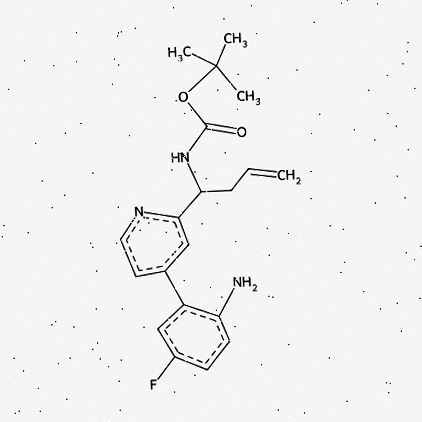 C=CCC(NC(=O)OC(C)(C)C)c1cc(-c2cc(F)ccc2N)ccn1